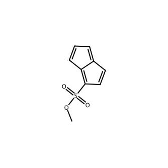 COS(=O)(=O)C1=C2[C]=CC=C2C=C1